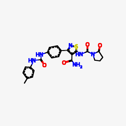 Cc1ccc(NC(=O)Nc2ccc(-c3nsc(NC(=O)N4CCCC4=O)c3C(N)=O)cc2)cc1